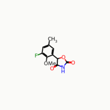 COc1c(F)cc(C)cc1C1OC(=O)NC1=O